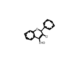 O=CC1=C(Cl)C(c2ccccc2)Oc2ccccc21